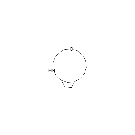 C1CCCC2CCC(CNCCCCOCC1)C2